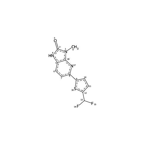 Cn1c(=O)[nH]c2ccc(-c3ccc(C(F)F)s3)nc21